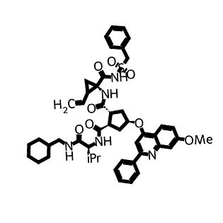 C=CC1C[C@]1(NC(=O)[C@@H]1C[C@@H](Oc2cc(-c3ccccc3)nc3cc(OC)ccc23)C[C@H]1C(=O)N[C@H](C(=O)NCC1CCCCC1)C(C)C)C(=O)NS(=O)(=O)Cc1ccccc1